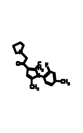 Cc1ccc(-n2c(C)cc(C(=O)CN3CCCC3)c2C)c(F)c1